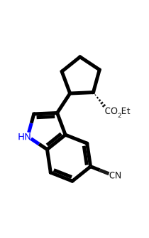 CCOC(=O)[C@H]1CCCC1c1c[nH]c2ccc(C#N)cc12